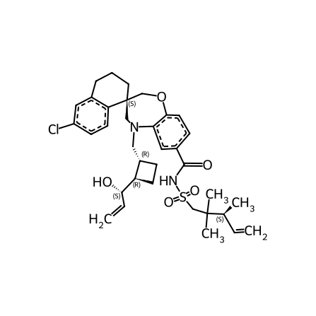 C=C[C@H](O)[C@@H]1CC[C@H]1CN1C[C@@]2(CCCc3cc(Cl)ccc32)COc2ccc(C(=O)NS(=O)(=O)CC(C)(C)[C@@H](C)C=C)cc21